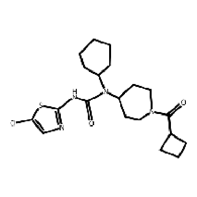 O=C(C1CCC1)N1CCC(N(C(=O)Nc2ncc(Cl)s2)C2CCCCC2)CC1